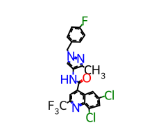 Cc1nn(Cc2ccc(F)cc2)cc1NC(=O)c1cc(C(F)(F)F)nc2c(Cl)cc(Cl)cc12